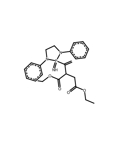 C=C(C(CC(=O)OCC)C(=O)OCC)P1(=N)N(c2ccccc2)CCN1c1ccccc1